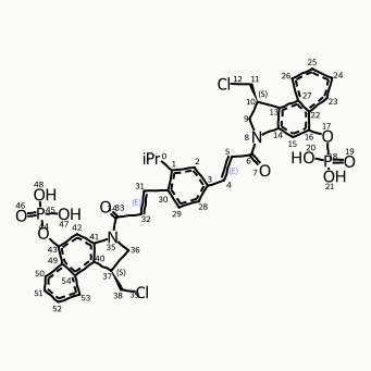 CC(C)c1cc(/C=C/C(=O)N2C[C@@H](CCl)c3c2cc(OP(=O)(O)O)c2ccccc32)ccc1/C=C/C(=O)N1C[C@@H](CCl)c2c1cc(OP(=O)(O)O)c1ccccc21